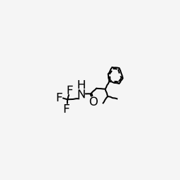 CC(C)C(CC(=O)NCC(F)(F)F)c1ccccc1